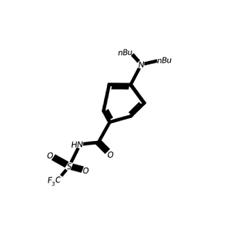 CCCCN(CCCC)c1ccc(C(=O)NS(=O)(=O)C(F)(F)F)cc1